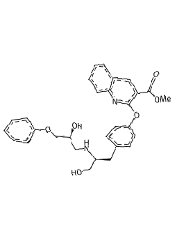 COC(=O)c1cc2ccccc2nc1Oc1ccc(C[C@@H](CO)NC[C@H](O)COc2ccccc2)cc1